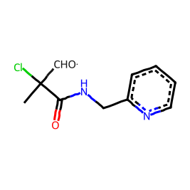 CC(Cl)([C]=O)C(=O)NCc1ccccn1